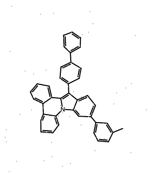 Cc1cccc(-c2ccc3c(-c4ccc(-c5ccccc5)cc4)c4c5ccccc5c5ccccc5n4c3c2)c1